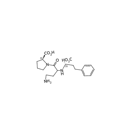 NCCC(N[C@@H](CCc1ccccc1)C(=O)O)C(=O)N1CCC[C@H]1C(=O)O